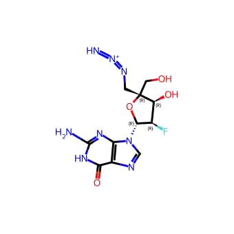 N=[N+]=NC[C@]1(CO)O[C@@H](n2cnc3c(=O)[nH]c(N)nc32)[C@H](F)[C@@H]1O